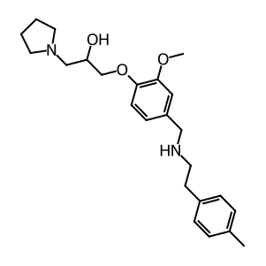 COc1cc(CNCCc2ccc(C)cc2)ccc1OCC(O)CN1CCCC1